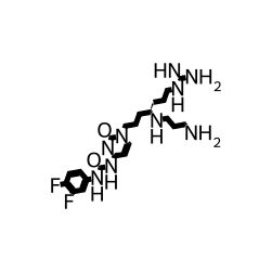 N=C(N)NCCC[C@@H](CCCn1ccc(NC(=O)Nc2ccc(F)c(F)c2)nc1=O)NCCCN